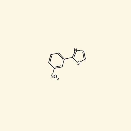 O=[N+]([O-])c1cccc(-c2nccs2)c1